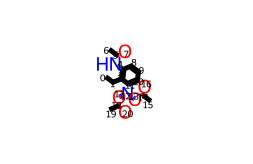 CCc1c(NC(C)=O)cccc1N(OC(C)=O)OC(C)=O